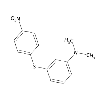 CN(C)c1cccc(Sc2ccc([N+](=O)[O-])cc2)c1